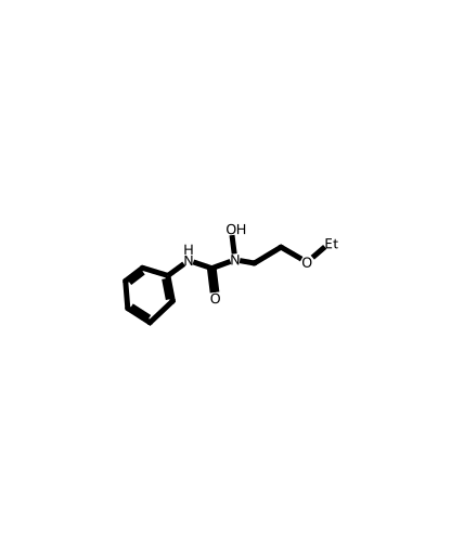 CCOCCN(O)C(=O)Nc1ccccc1